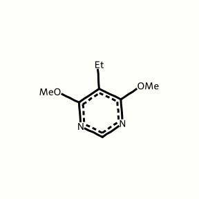 CCc1c(OC)ncnc1OC